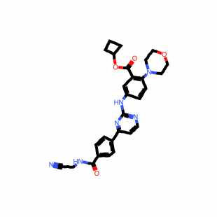 N#CCNC(=O)c1ccc(-c2ccnc(Nc3ccc(N4CCOCC4)c(C(=O)OC4CCC4)c3)n2)cc1